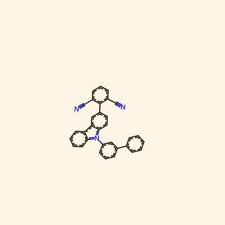 N#Cc1cccc(C#N)c1-c1ccc2c(c1)c1ccccc1n2-c1cccc(-c2ccccc2)c1